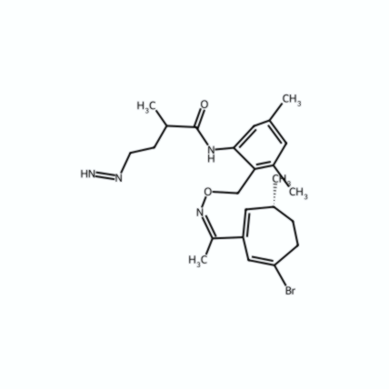 C/C(=N/OCc1c(C)cc(C)cc1NC(=O)C(C)CCN=N)C1=C[C@H](C)CCC(Br)=C1